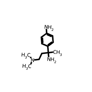 CN(C)CCC(C)(N)c1ccc(N)cc1